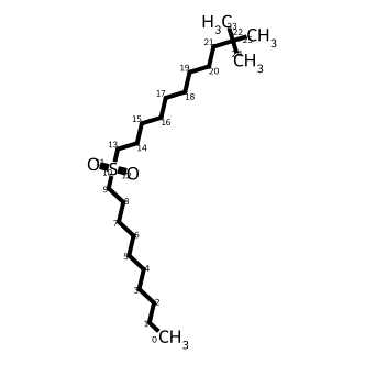 CCCCCCCCCCS(=O)(=O)CCCCCCCCCC(C)(C)C